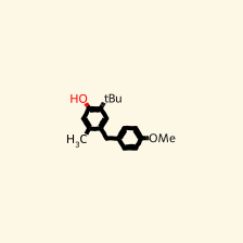 COc1ccc(Cc2cc(C(C)(C)C)c(O)cc2C)cc1